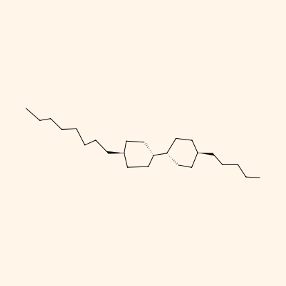 CCCCCCCC[C@H]1CC[C@H]([C@H]2CC[C@H](CCCCC)CC2)CC1